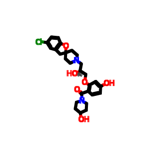 O=C(c1ccc(O)cc1OC[C@@H](O)CN1CCC2(CC1)Cc1cc(Cl)ccc1O2)N1CCC(O)CC1